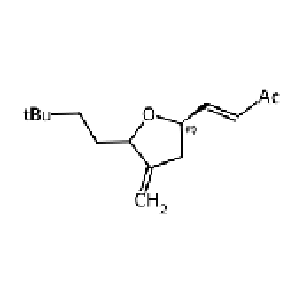 C=C1C[C@H](C=CC(C)=O)OC1CCC(C)(C)C